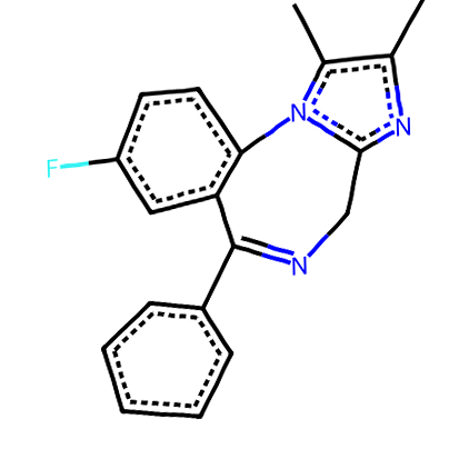 Cc1nc2n(c1C)-c1ccc(F)cc1C(c1ccccc1)=NC2